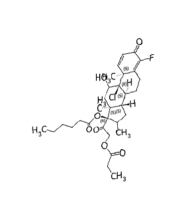 CCCCCC(=O)O[C@]1(C(=O)COC(=O)CC)C(C)C[C@H]2[C@@H]3CCC4=C(F)C(=O)C=C[C@]4(C)[C@@]3(Cl)C(O)C[C@@]21C